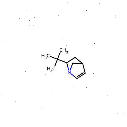 CC(C)(C)C1CC2C=CN1C2